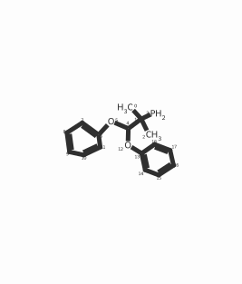 CC(C)(P)C(Oc1ccccc1)Oc1ccccc1